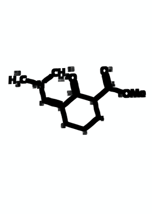 COC(=O)C1CCCC(=CN(C)C)C1=O